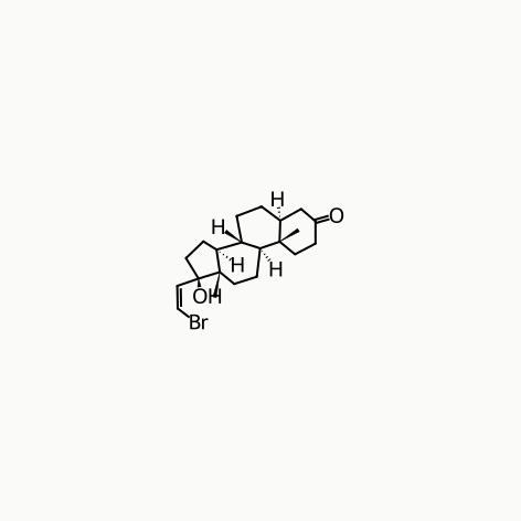 C[C@]12CCC(=O)C[C@@H]1CC[C@@H]1[C@@H]2CC[C@@]2(C)[C@H]1CC[C@@]2(O)/C=C\Br